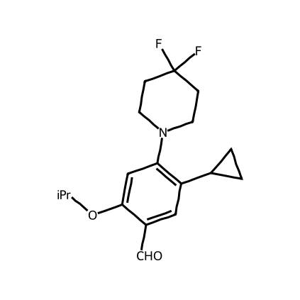 CC(C)Oc1cc(N2CCC(F)(F)CC2)c(C2CC2)cc1C=O